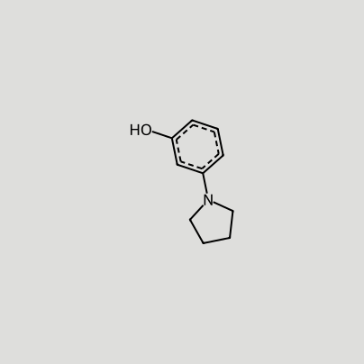 Oc1cccc(N2CCCC2)c1